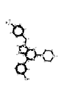 Oc1cccc(-c2nc(N3CCOCC3)nc3c2ncn3Cc2ccc(C(F)(F)F)cc2)c1